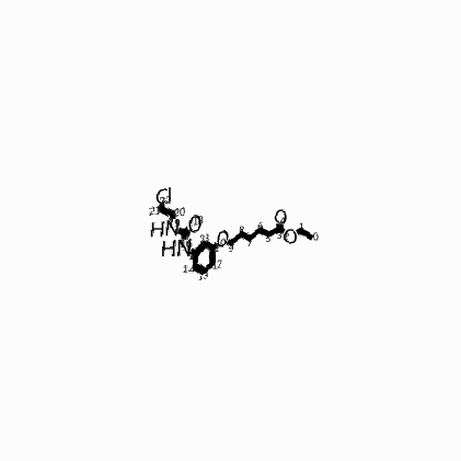 CCOC(=O)CCCCCOc1cccc(NC(=O)NCCCl)c1